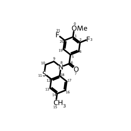 COc1c(F)cc(C(=O)N2CCSc3cc(C)ccc32)cc1F